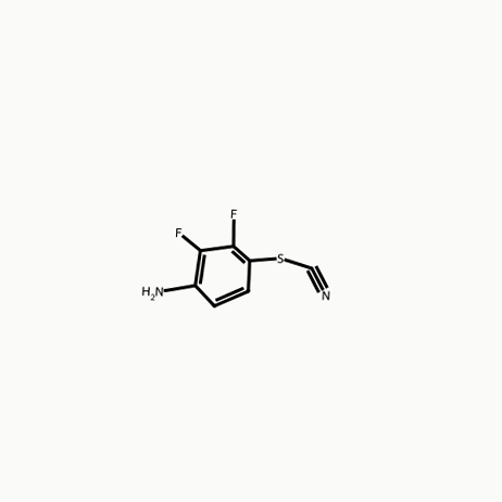 N#CSc1ccc(N)c(F)c1F